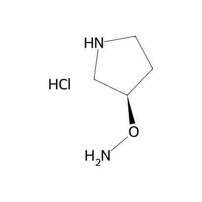 Cl.NO[C@@H]1CCNC1